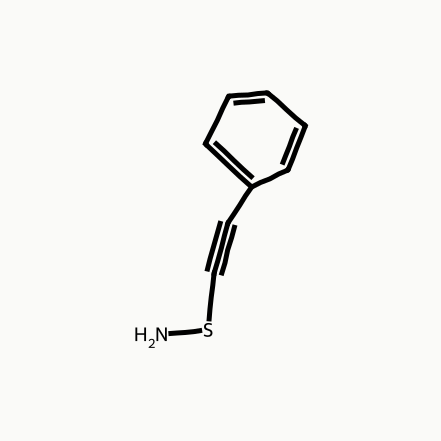 NSC#Cc1ccccc1